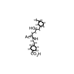 CC(=O)N(CCC(O)Cc1cccc(I)c1)NCCc1ccc(C(=O)O)cc1